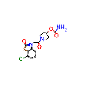 NC(=O)OC1CCN(C(=O)Cn2c(=O)sc3c(Cl)cccc32)CC1